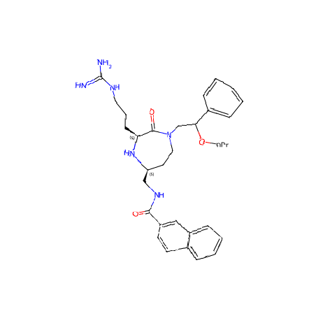 CCCOC(CN1CC[C@@H](CNC(=O)c2ccc3ccccc3c2)N[C@@H](CCCNC(=N)N)C1=O)c1ccccc1